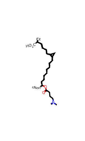 CCCCCCCCCC(CCCCCCCCC1CC1CCCCC(CC)C(=O)O)OC(=O)CCCN(C)C